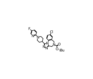 CC[C@@H](C)OC(=O)N1Cc2cc(Cl)ccc2-n2c(nnc2C2CCN(c3ccc(F)cn3)CC2)C1